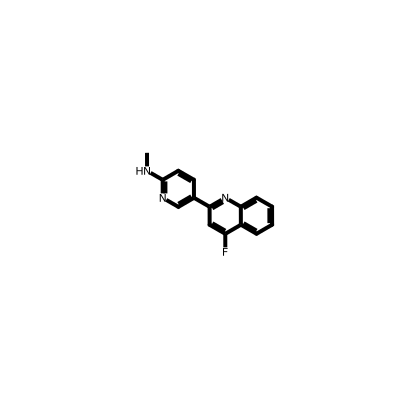 CNc1ccc(-c2cc(F)c3ccccc3n2)cn1